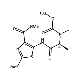 CNC(=O)c1nc(SC)sc1NC(=O)[C@H](C)N(C)C(=O)OC(C)(C)C